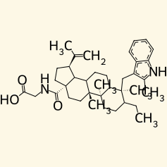 C=C(C)[C@@H]1CC[C@]2(C(=O)NCC(=O)O)CC[C@]3(C)C(CCC4[C@@](C)(Cc5c(C)[nH]c6ccccc56)C(CC)CC[C@]43C)C12